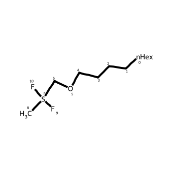 CCCCCCCCCCOCS(C)(F)F